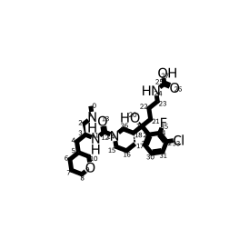 CNC[C@H](CC1CCCOC1)NC(=O)N1CCC[C@@H]([C@@](O)(CCCNC(=O)O)c2cccc(Cl)c2F)C1